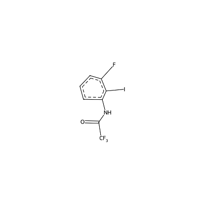 O=C(Nc1cccc(F)c1I)C(F)(F)F